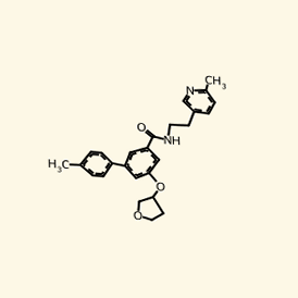 Cc1ccc(-c2cc(OC3CCOC3)cc(C(=O)NCCc3ccc(C)nc3)c2)cc1